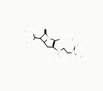 CC(O)C1C(=O)N2C(C(=O)O)=C(N(C)CCN(C)C)CC12